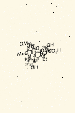 CCOc1cc2c(cc1OC)C(c1cnc(OC)nc1OC)=N[C@@H]1CC[C@@H](O)C[C@H]21.O=C(O)C(O)C(O)C(=O)O